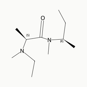 CC[C@@H](C)N(C)C(=O)[C@H](C)N(C)CC